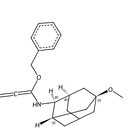 C=C=C(N[C@H]1[C@@H]2CC3C[C@H]1C[C@@](OC)(C3)C2)OCc1ccccc1